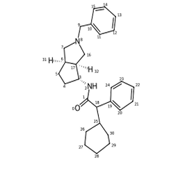 O=C(N[C@@H]1CC[C@H]2CN(Cc3ccccc3)C[C@H]21)C(c1ccccc1)C1CCCCC1